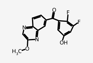 COc1cnc2ccc(C(=O)c3cc(O)cc(F)c3F)cc2n1